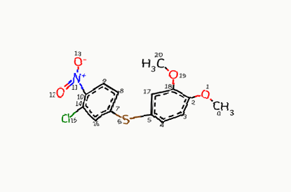 COc1ccc(Sc2ccc([N+](=O)[O-])c(Cl)c2)cc1OC